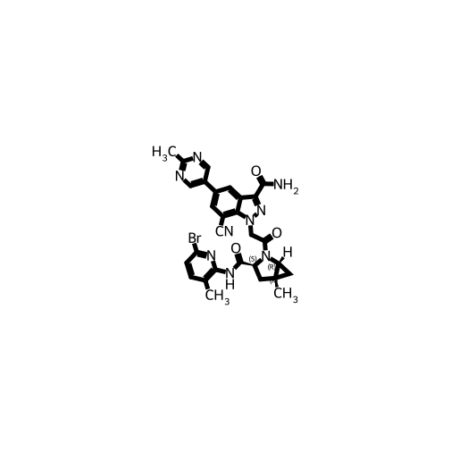 Cc1ncc(-c2cc(C#N)c3c(c2)c(C(N)=O)nn3CC(=O)N2[C@H](C(=O)Nc3nc(Br)ccc3C)C[C@@]3(C)C[C@@H]23)cn1